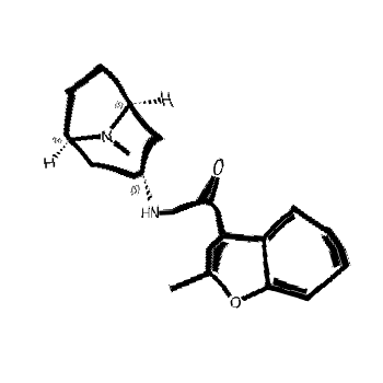 Cc1oc2ccccc2c1C(=O)N[C@@H]1C[C@H]2CC[C@@H](C1)N2C